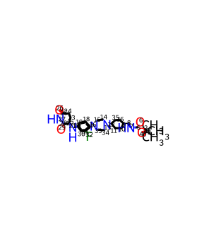 CC(C)(C)OC(=O)NC[C@H]1CC[C@H](N2CCN(c3ccc(NC4CCC(=O)NC4=O)cc3F)CC2)CC1